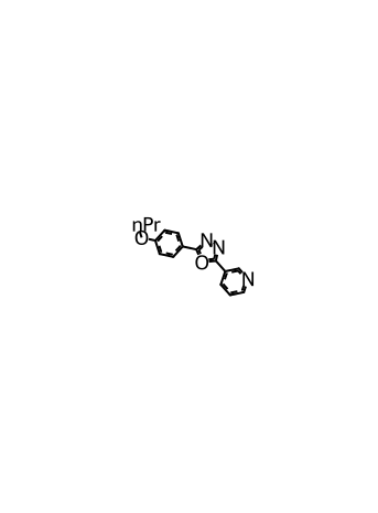 CCCOc1ccc(-c2nnc(-c3cccnc3)o2)cc1